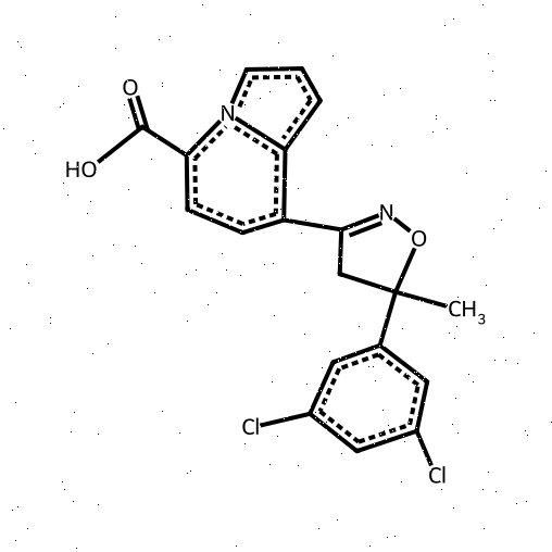 CC1(c2cc(Cl)cc(Cl)c2)CC(c2ccc(C(=O)O)n3cccc23)=NO1